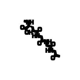 CN[C@H](CCC(=O)NCC(=O)NCC(=O)NCC(C)=O)C(=O)O